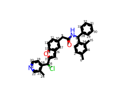 Cc1ccc([C@@H](NC(=O)Cc2ccc3oc(C(Cl)c4ccncc4C)cc3c2)c2ccccc2)c(C)c1